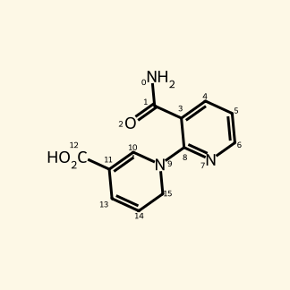 NC(=O)c1cccnc1N1[C]=C(C(=O)O)C=CC1